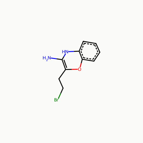 NC1=C(CCBr)Oc2ccccc2N1